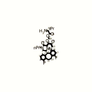 CCCN1C[C@H](C2c3cccc(F)c3CCc3c(F)cccc32)n2ncc(=O)c(OCOC(=O)[C@H](N)C(C)C)c2C1=O